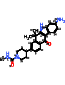 CCNC(=O)N1CCC(c2ccc3c(c2)C(C)(C)c2[nH]c4cc(N)ccc4c2C3=O)CC1